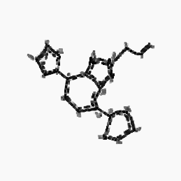 C=CCn1nc2c(-c3cccs3)ccc(-c3cccs3)c2n1